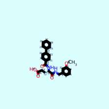 COc1cccc(CNC(=O)[C@H](CCC(=O)O)NC(=O)c2ccc(-c3ccccc3)cc2)c1